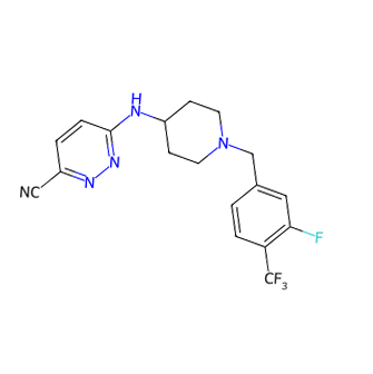 N#Cc1ccc(NC2CCN(Cc3ccc(C(F)(F)F)c(F)c3)CC2)nn1